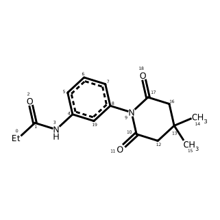 CCC(=O)Nc1cccc(N2C(=O)CC(C)(C)CC2=O)c1